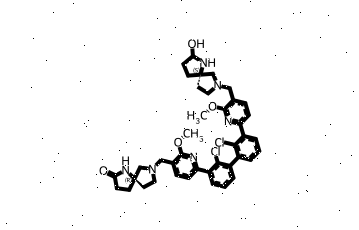 COc1nc(-c2cccc(-c3cccc(-c4ccc(CN5CC[C@@]6(CCC(O)N6)C5)c(OC)n4)c3Cl)c2Cl)ccc1CN1CC[C@]2(CCC(=O)N2)C1